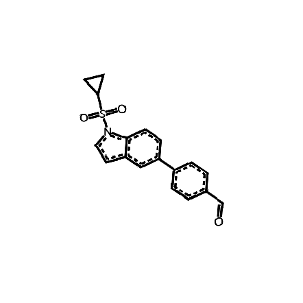 O=Cc1ccc(-c2ccc3c(ccn3S(=O)(=O)C3CC3)c2)cc1